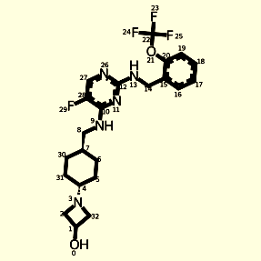 OC1CN([C@H]2CC[C@H](CNc3nc(NCc4ccccc4OC(F)(F)F)ncc3F)CC2)C1